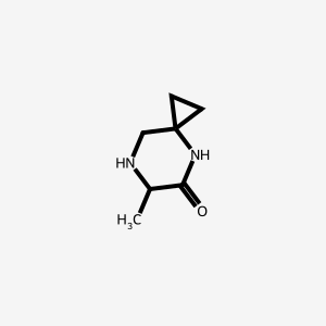 CC1NCC2(CC2)NC1=O